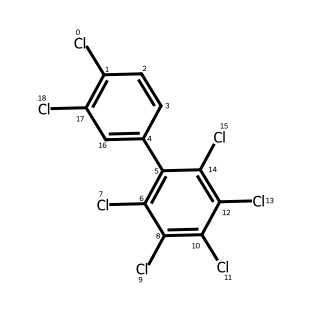 Clc1ccc(-c2c(Cl)c(Cl)c(Cl)c(Cl)c2Cl)cc1Cl